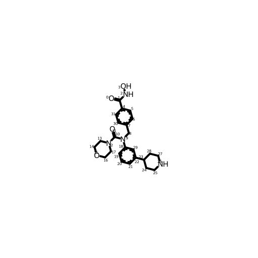 O=C(NO)c1ccc(CN(C(=O)N2CCOCC2)c2cccc(C3CCNCC3)c2)cc1